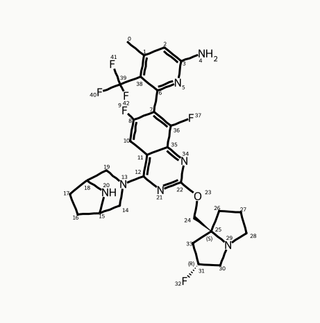 Cc1cc(N)nc(-c2c(F)cc3c(N4CC5CCC(C4)N5)nc(OC[C@@]45CCCN4C[C@H](F)C5)nc3c2F)c1C(F)(F)F